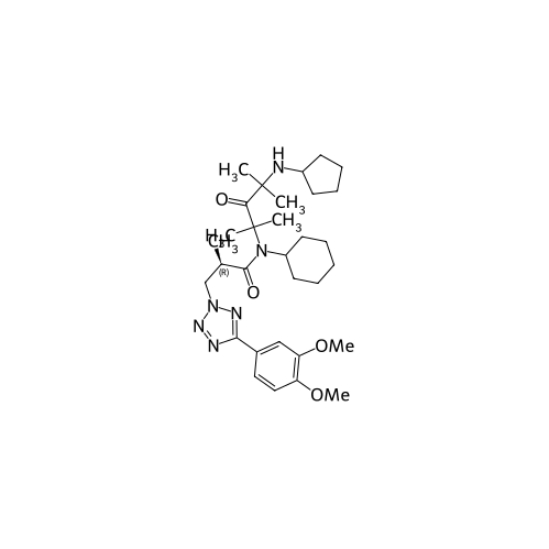 COc1ccc(-c2nnn(C[C@@H](C)C(=O)N(C3CCCCC3)C(C)(C)C(=O)C(C)(C)NC3CCCC3)n2)cc1OC